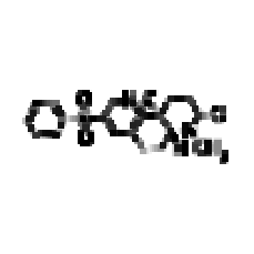 CN1C(=O)CC[C@]2(C)c3ccc(S(=O)(=O)c4ccccc4)cc3CC[C@@H]12